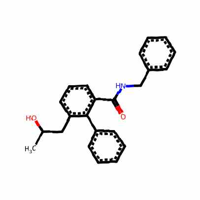 CC(O)Cc1cccc(C(=O)NCc2ccccc2)c1-c1ccccc1